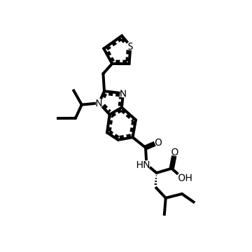 CCC(C)C[C@H](NC(=O)c1ccc2c(c1)nc(Cc1ccsc1)n2C(C)CC)C(=O)O